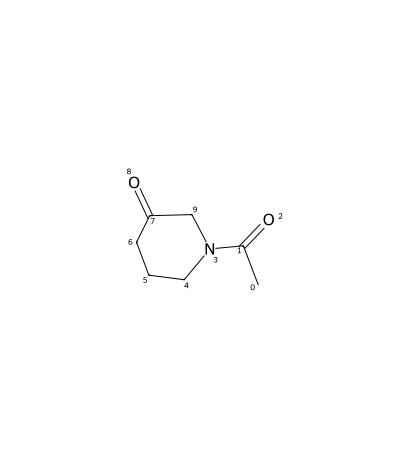 CC(=O)N1CCCC(=O)C1